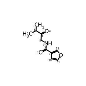 CC(C)C(=O)CNC(=O)c1ccoc1